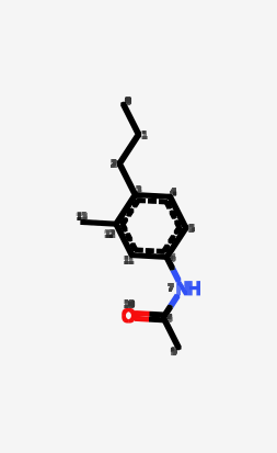 CCCc1ccc(NC(C)=O)cc1C